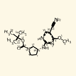 COc1nc(N[C@@H]2CCN(C(=O)OC(C)(C)C)C2)ncc1C#N